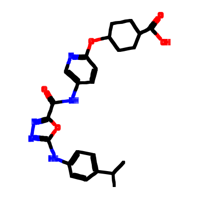 CC(C)c1ccc(Nc2nnc(C(=O)Nc3ccc(OC4CCC(C(=O)O)CC4)nc3)o2)cc1